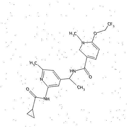 Cc1cc(C(C)NC(=O)C2=CC=C(OCC(F)(F)F)N(C)C2)cc(NC(=O)C2CC2)n1